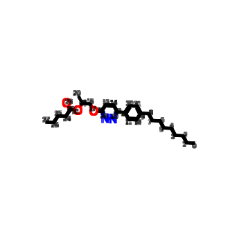 CCCCCCCCCc1ccc(-c2ccc(OC[C@H](C)OC(=O)CCCC)nn2)cc1